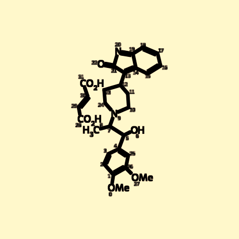 COc1ccc(C(O)C(C)N2CCC(C3=c4ccccc4=NC3=O)CC2)cc1OC.O=C(O)/C=C/C(=O)O